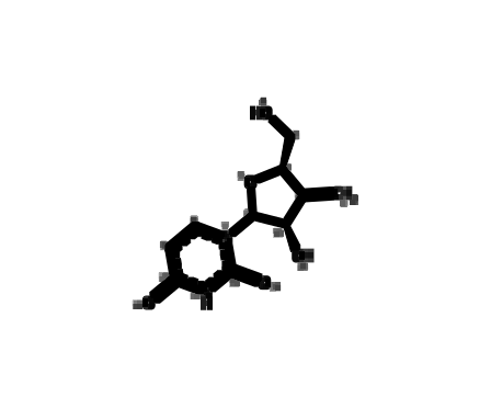 C=C1[C@H](CO)OC(n2ccc(=O)[nH]c2=O)[C@@H]1O